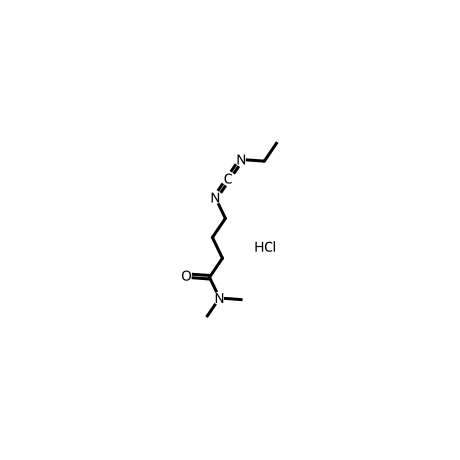 CCN=C=NCCCC(=O)N(C)C.Cl